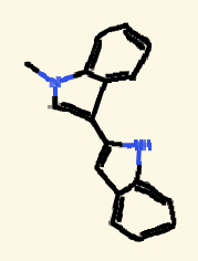 Cn1[c]c(-c2cc3ccccc3[nH]2)c2ccccc21